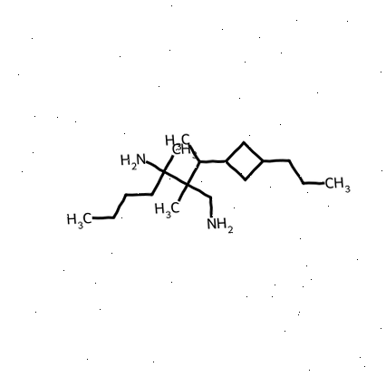 CCCCC(C)(N)C(C)(CN)C(C)C1CC(CCC)C1